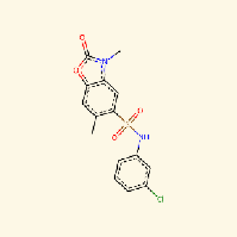 Cc1cc2oc(=O)n(C)c2cc1S(=O)(=O)Nc1cccc(Cl)c1